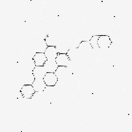 CN(C)C(=O)c1ccc(COc2ccccc2CN2CCN(C(=O)CNC(=O)CCCC3CC4CCCC(C3)C4)CC2)cc1